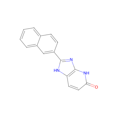 O=c1ccc2[nH]c(-c3ccc4ccccc4c3)nc2[nH]1